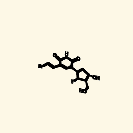 O=c1[nH]c(=O)n([C@H]2C[C@H](O)[C@@H](CO)[C@H]2F)cc1C=CBr